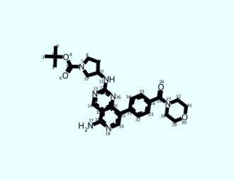 CC(C)(C)OC(=O)N1CCC(Nc2ncc3c(N)ncc(-c4ccc(C(=O)N5CCOCC5)cc4)c3n2)C1